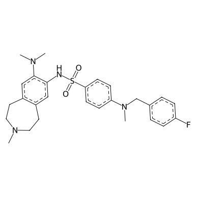 CN1CCc2cc(NS(=O)(=O)c3ccc(N(C)Cc4ccc(F)cc4)cc3)c(N(C)C)cc2CC1